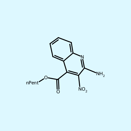 CCCCCOC(=O)c1c([N+](=O)[O-])c(N)nc2ccccc12